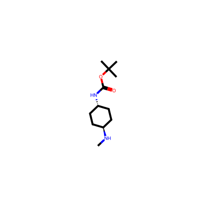 CN[C@H]1CC[C@H](NC(=O)OC(C)(C)C)CC1